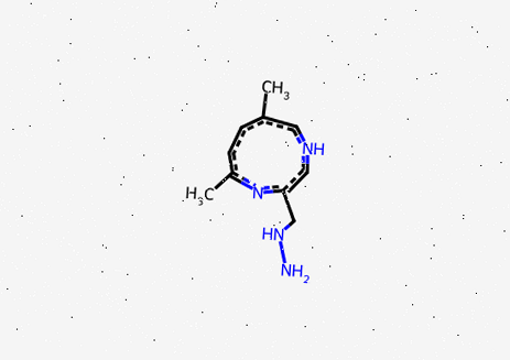 Cc1ccc(C)nc(CNN)c[nH]c1